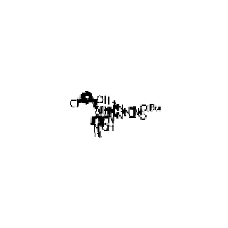 Cc1nc(N2CCN(C(=O)OC(C)(C)C)CC2)nc2[nH]c(-c3c(NCC(O)c4cccc(Cl)c4)cc[nH]c3=O)nc12